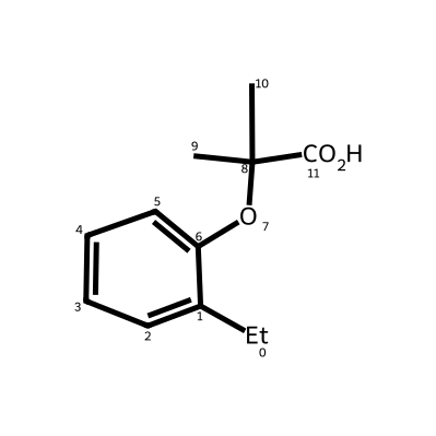 CCc1ccccc1OC(C)(C)C(=O)O